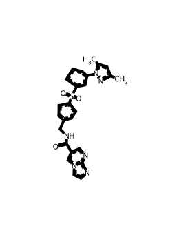 Cc1cc(C)n(-c2cccc(S(=O)(=O)c3ccc(CNC(=O)c4cnc5nccn5c4)cc3)c2)n1